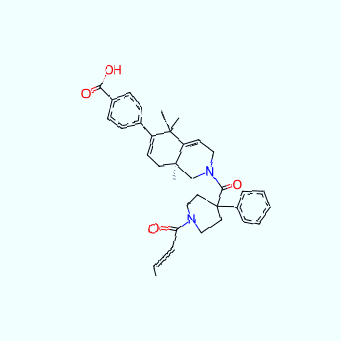 C/C=C/C(=O)N1CCC(C(=O)N2CC=C3C(C)(C)C(c4ccc(C(=O)O)cc4)=CC[C@]3(C)C2)(c2ccccc2)CC1